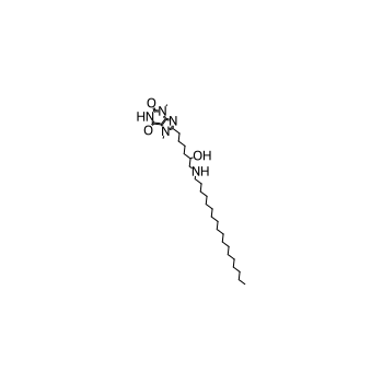 CCCCCCCCCCCCCCCCCCNCC(O)CCCCc1nc2c(c(=O)[nH]c(=O)n2C)n1C